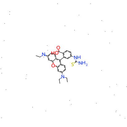 CC/N=c1/ccc2c(-c3cc(NC(N)=S)ccc3C(=O)O)c3ccc(N(CC)CC)cc3oc-2c1